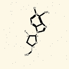 Nc1c2ncn([C@@H]3O[C@H](CO)C[C@@H]3F)c2nc[n+]1[O-]